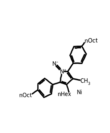 CCCCCCCCc1ccc(C2=C(C)C(CCCCCC)=C(c3ccc(CCCCCCCC)cc3)[N+]2=[N-])cc1.[Ni]